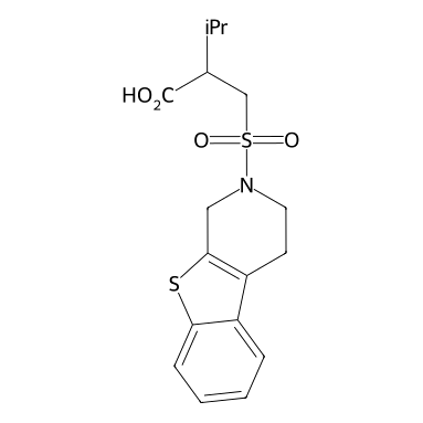 CC(C)C(CS(=O)(=O)N1CCc2c(sc3ccccc23)C1)C(=O)O